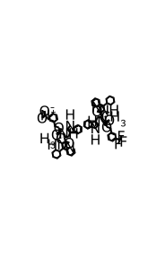 C[C@@](Cc1c[nH]c2ccccc12)(NC(=O)OCc1cccc(C(F)(F)F)c1)C(=O)NC(c1ccccn1)C1CCCCC1.C[C@@](Cc1c[nH]c2ccccc12)(NC(=O)OCc1cccc([N+](=O)[O-])c1)C(=O)NC(c1ccccn1)C1CCCCC1